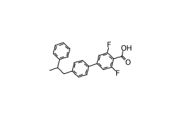 CC(Cc1ccc(-c2cc(F)c(C(=O)O)c(F)c2)cc1)c1ccccc1